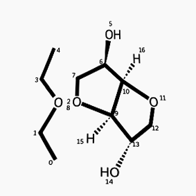 CCOCC.O[C@@H]1CO[C@H]2[C@@H]1OC[C@@H]2O